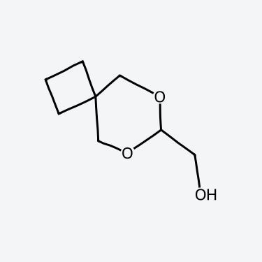 OCC1OCC2(CCC2)CO1